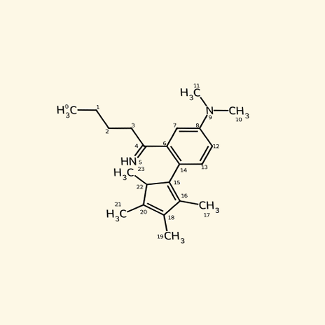 CCCCC(=N)c1cc(N(C)C)ccc1C1=C(C)C(C)=C(C)C1C